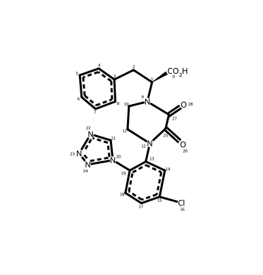 O=C(O)[C@H](Cc1ccccc1)N1CCN(c2cc(Cl)ccc2-n2cnnn2)C(=O)C1=O